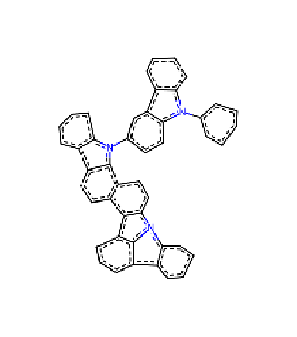 c1ccc(-n2c3ccccc3c3cc(-n4c5ccccc5c5ccc6c(ccc7c6c6cccc8c9ccccc9n7c86)c54)ccc32)cc1